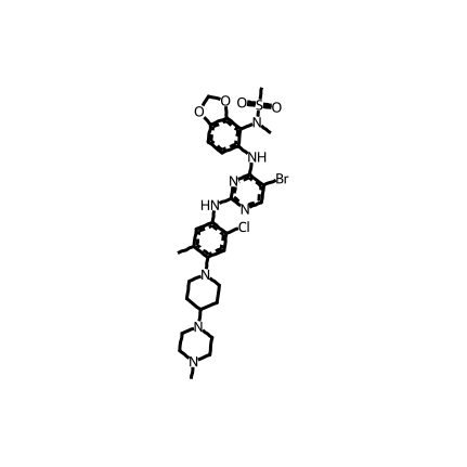 Cc1cc(Nc2ncc(Br)c(Nc3ccc4c(c3N(C)S(C)(=O)=O)OCO4)n2)c(Cl)cc1N1CCC(N2CCN(C)CC2)CC1